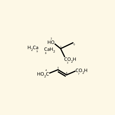 CC(O)C(=O)O.O=C(O)C=CC(=O)O.[CaH2].[CaH2]